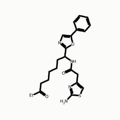 CCC(=O)CCCCCC(NC(=O)Cc1csc(N)n1)c1ncc(-c2ccccc2)o1